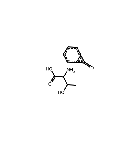 CC(O)C(N)C(=O)O.O=c1c2ccccc12